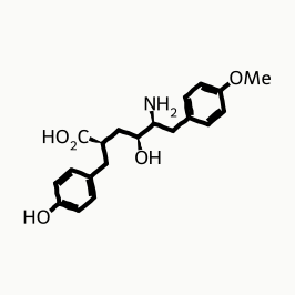 COc1ccc(C[C@H](N)[C@@H](O)C[C@@H](Cc2ccc(O)cc2)C(=O)O)cc1